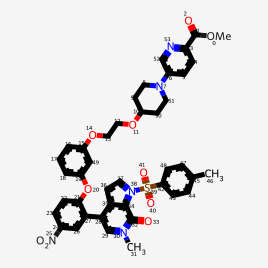 COC(=O)c1ccc(N2CCC(OCCOc3cccc(Oc4ccc([N+](=O)[O-])cc4-c4cn(C)c(=O)c5c4ccn5S(=O)(=O)c4ccc(C)cc4)c3)CC2)cn1